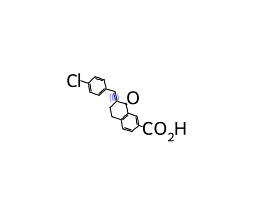 O=C(O)c1ccc2c(c1)C(=O)/C(=C/c1ccc(Cl)cc1)CC2